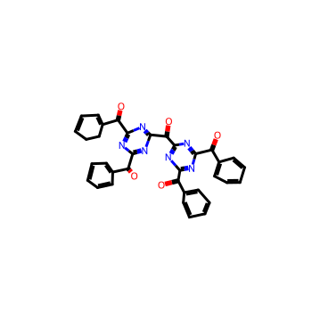 O=C(C1=CC=CCC1)c1nc(C(=O)c2ccccc2)nc(C(=O)c2nc(C(=O)c3ccccc3)nc(C(=O)c3ccccc3)n2)n1